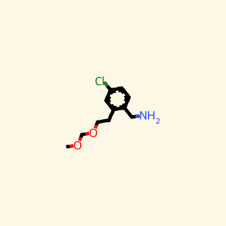 COCOCCc1cc(Cl)ccc1CN